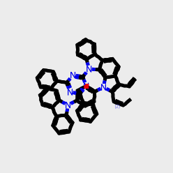 C=Cc1c(/C=C\C)n(-c2ccc(-n3c4ccccc4c4ccccc43)cc2)c2c1ccc1c3ccccc3n(-c3nc(-c4ccccc4)nc(-c4ccccc4)n3)c12